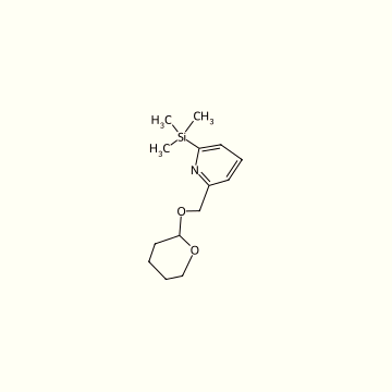 C[Si](C)(C)c1cccc(COC2CCCCO2)n1